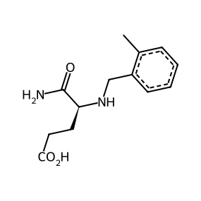 Cc1ccccc1CN[C@@H](CCC(=O)O)C(N)=O